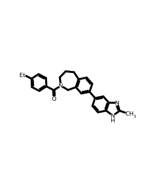 CCc1ccc(C(=O)N2CCCc3ccc(-c4ccc5[nH]c(C)nc5c4)cc3C2)cc1